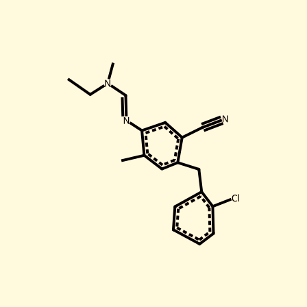 CCN(C)C=Nc1cc(C#N)c(Cc2ccccc2Cl)cc1C